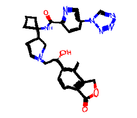 Cc1c([C@@H](O)CN2CCC(C3(NC(=O)c4ccc(-n5cnnn5)cn4)CCC3)C2)ccc2c1COC2=O